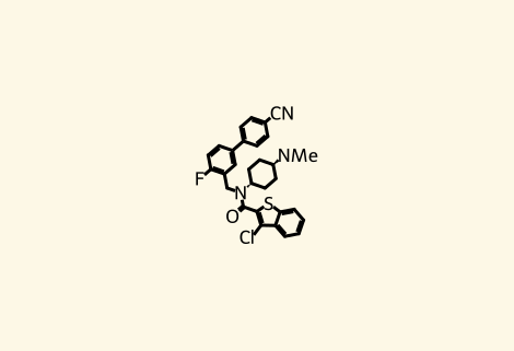 CN[C@H]1CC[C@H](N(Cc2cc(-c3ccc(C#N)cc3)ccc2F)C(=O)c2sc3ccccc3c2Cl)CC1